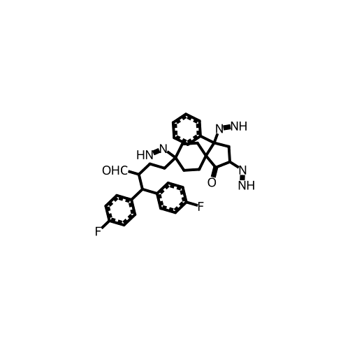 N=NC1CC(N=N)(c2ccccc2)C2(CCC(CCC(C=O)C(c3ccc(F)cc3)c3ccc(F)cc3)(N=N)CC2)C1=O